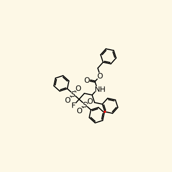 O=C(NC(Cc1ccccc1)CC(F)(S(=O)(=O)c1ccccc1)S(=O)(=O)c1ccccc1)OCc1ccccc1